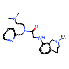 CCN1CCc2cccc(NCC(=O)N(CCN(C)C)Cc3ccccn3)c2C1